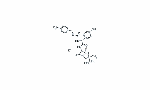 CC1(C)S[C@@H]2C(NC(=O)C(NC(=O)OCc3ccc([N+](=O)[O-])cc3)c3ccc(O)cc3)C(=O)N2[C@H]1C(=O)[O-].[K+]